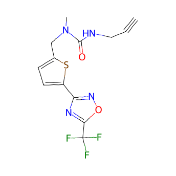 C#CCNC(=O)N(C)Cc1ccc(-c2noc(C(F)(F)F)n2)s1